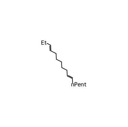 CCC=CCCCCCC=CCCCCC